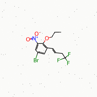 CCCOc1c(/C=C/CC(F)(F)F)cc(Br)cc1[N+](=O)[O-]